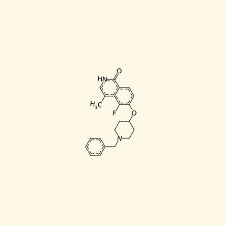 Cc1c[nH]c(=O)c2ccc(OC3CCN(Cc4ccccc4)CC3)c(F)c12